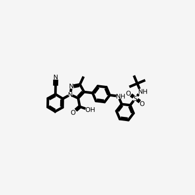 Cc1nn(-c2c[c]ccc2C#N)c(C(=O)O)c1-c1ccc(Nc2ccccc2S(=O)(=O)NC(C)(C)C)cc1